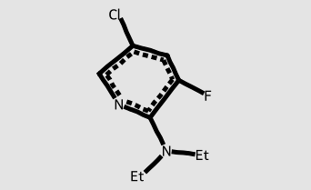 CCN(CC)c1ncc(Cl)cc1F